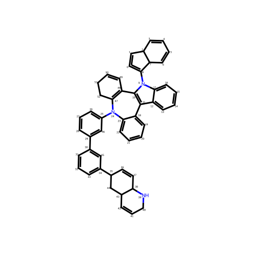 C1=CC2C=CC=CC2C=1n1c2c(c3ccccc31)-c1ccccc1N(c1cccc(-c3cccc(C4C=CC5NCC=CC5C4)c3)c1)C1=C2C=CCC1